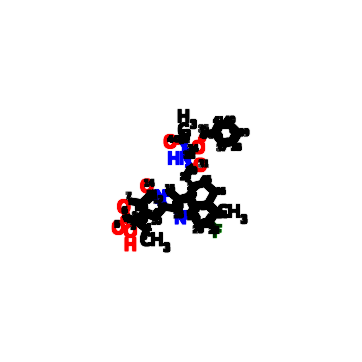 CC[C@@]1(O)C(=O)OCc2c1cc1n(c2=O)Cc2c-1nc1cc(F)c(C)c3c1c2[C@H](CC(=O)NN(OCc1ccccc1)C(C)=O)CC3